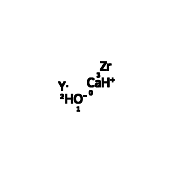 [CaH+].[OH-].[Y].[Zr]